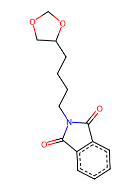 O=C1c2ccccc2C(=O)N1CCCCC1COCO1